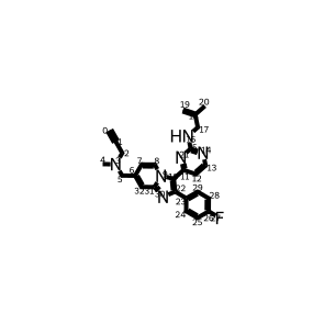 C#CCN(C)Cc1ccn2c(-c3ccnc(NCC(=C)C)n3)c(-c3ccc(F)cc3)nc2c1